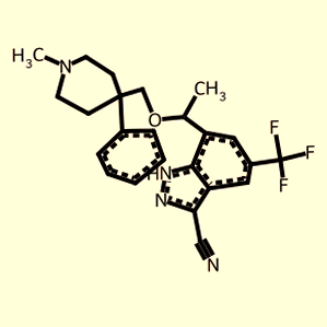 CC(OCC1(c2ccccc2)CCN(C)CC1)c1cc(C(F)(F)F)cc2c(C#N)n[nH]c12